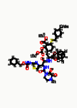 CCN1CCN(C(=O)NC(C(=O)NC(Cc2ccc(SCc3ccc(OC)cc3)c(C(=O)OC(C)(C)C)c2OC(=O)OC(C)(C)C)B2O[C@@H]3C[C@@H]4C[C@@H](C4(C)C)[C@]3(C)O2)c2csc(NC(=O)OCc3ccccc3)n2)C(=O)C1=O